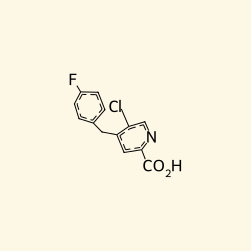 O=C(O)c1cc(Cc2ccc(F)cc2)c(Cl)cn1